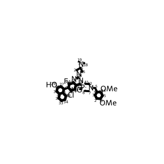 COc1ccc(CN2CC[P](O)(c3nc(N4CC(N(C)C)C4)nc4c(F)c(-c5cc(O)cc6ccccc56)c(Cl)cc34)CC2)c(OC)c1